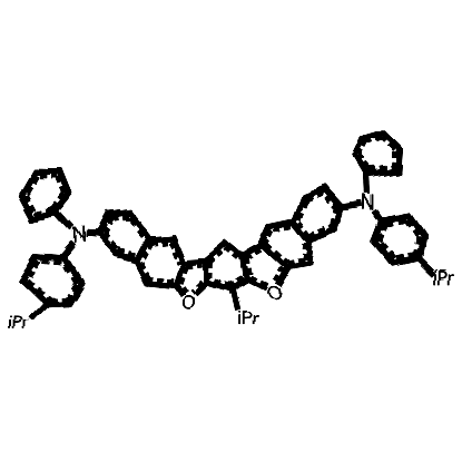 CC(C)c1ccc(N(c2ccccc2)c2ccc3cc4c(cc3c2)oc2c(C(C)C)c3oc5cc6cc(N(c7ccccc7)c7ccc(C(C)C)cc7)ccc6cc5c3cc24)cc1